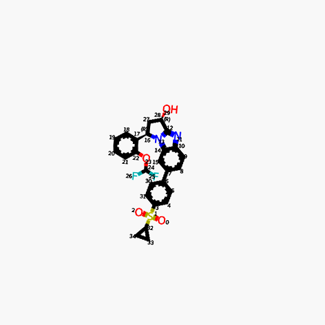 O=S(=O)(c1ccc(-c2ccc3nc4n(c3c2)[C@@H](c2ccccc2OC(F)F)C[C@H]4O)cc1)C1CC1